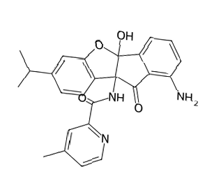 Cc1ccnc(C(=O)NC23C(=O)c4c(N)cccc4C2(O)Oc2cc(C(C)C)ccc23)c1